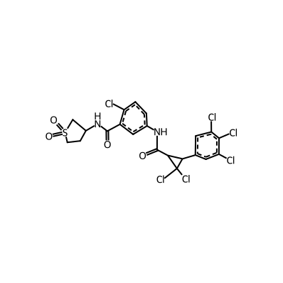 O=C(NC1CCS(=O)(=O)C1)c1cc(NC(=O)C2C(c3cc(Cl)c(Cl)c(Cl)c3)C2(Cl)Cl)ccc1Cl